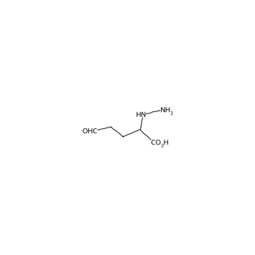 NNC(CC[C]=O)C(=O)O